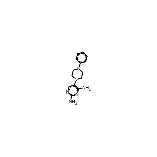 Nc1ncc(N2CCN(c3ccccc3)CC2)c(N)n1